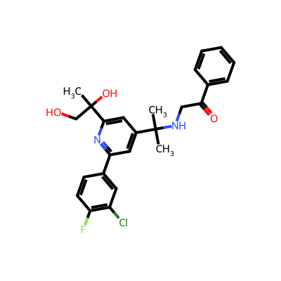 CC(O)(CO)c1cc(C(C)(C)NCC(=O)c2ccccc2)cc(-c2ccc(F)c(Cl)c2)n1